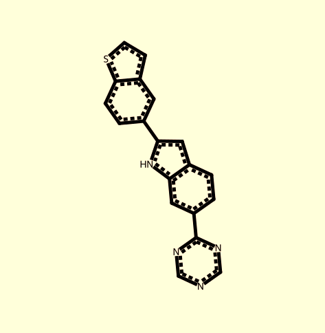 c1ncnc(-c2ccc3cc(-c4ccc5sccc5c4)[nH]c3c2)n1